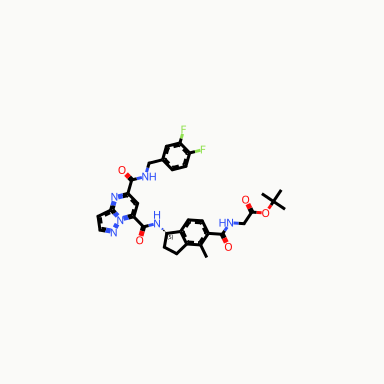 Cc1c(C(=O)NCC(=O)OC(C)(C)C)ccc2c1CC[C@@H]2NC(=O)c1cc(C(=O)NCc2ccc(F)c(F)c2)nc2ccnn12